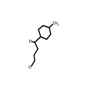 CCC(CCCCl)C1CCC(C)CC1